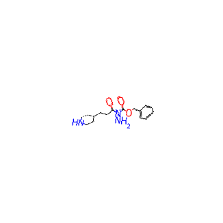 NN(C(=O)CCC1CCNCC1)C(=O)OCc1ccccc1